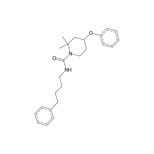 CC1(C)CC(Oc2ccccc2)CCN1C(=O)NCCCCc1ccccc1